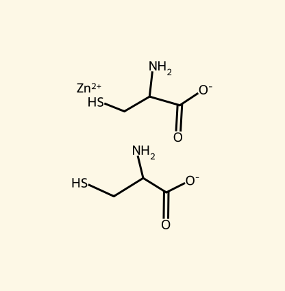 NC(CS)C(=O)[O-].NC(CS)C(=O)[O-].[Zn+2]